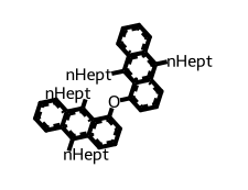 CCCCCCCc1c2ccccc2c(CCCCCCC)c2c(Oc3cccc4c(CCCCCCC)c5ccccc5c(CCCCCCC)c34)cccc12